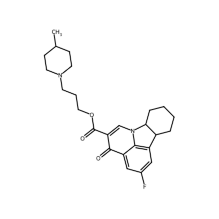 CC1CCN(CCCOC(=O)c2cn3c4c(cc(F)cc4c2=O)C2CCCCC23)CC1